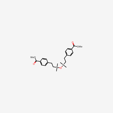 COC(=O)c1ccc(CC[Si](C)(C)O[Si](C)(C)CCc2ccc(C(=O)OC)cc2)cc1